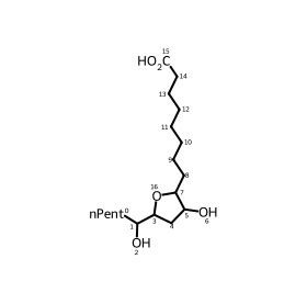 CCCCCC(O)C1CC(O)C(CCCCCCCC(=O)O)O1